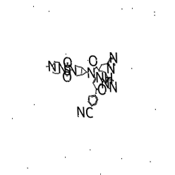 CN1CCN(S(=O)(=O)N2CC3C(C2)C3N2C(=O)C(Cc3cncn3C)(Cc3cncn3C)NC2=CC(=O)c2ccc(C#N)cc2)CC1